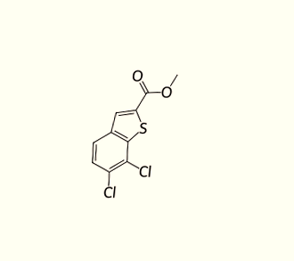 COC(=O)c1cc2ccc(Cl)c(Cl)c2s1